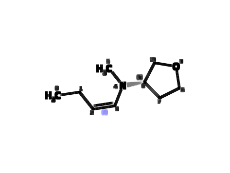 CC/C=C\N(C)[C@H]1CCOC1